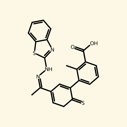 CC(=NNc1nc2ccccc2s1)C1=CCC(=S)C(c2cccc(C(=O)O)c2C)=C1